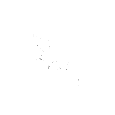 CCOC(=O)c1nc(C(=O)N2CC(F)(F)CC2C)cs1